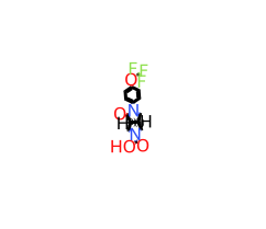 O=C(O)N1C[C@@H]2CN(c3ccc(OC(F)(F)F)cc3)C(=O)[C@H]2C1